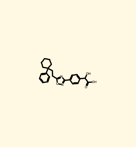 O=C(O)C(O)c1ccc(-c2noc(CCC3(c4ccccc4)CCCCC3)n2)cc1